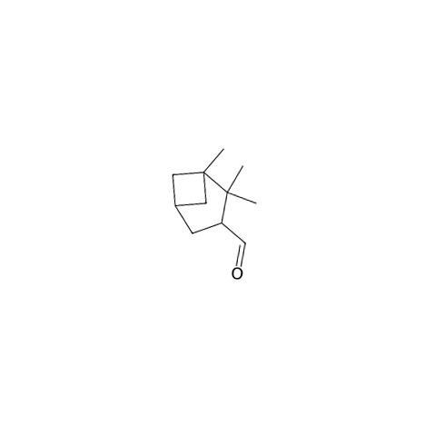 CC12CC(CC(C=O)C1(C)C)C2